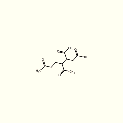 CC(=O)CCC(C(C)=O)C(CC(=O)O)C(C)=O